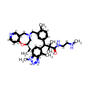 CC[C@@H]1CN(Cc2cc(C(c3ccc4c(nnn4C)c3C)C(C)(C)C(=O)NCCNC)ccc2C)Cc2cnccc2O1